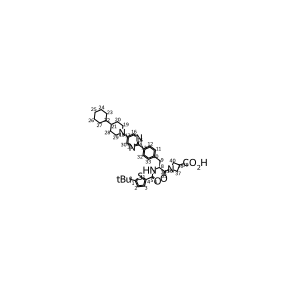 CC(C)(C)c1ccc(C(=O)N[C@@H](Cc2ccc(-c3ncc(N4CCC(C5CCCCC5)CC4)cn3)cc2)C(=O)N2CC(C(=O)O)C2)s1